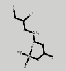 CC(CC[SiH2]CC(F)CF)C[Si](F)(F)F